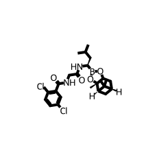 CC(C)C[C@H](NC(=O)CNC(=O)c1cc(Cl)ccc1Cl)B1OC2C[C@@H]3C[C@H](C3(C)C)[C@]2(C)O1